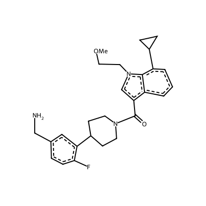 COCCn1cc(C(=O)N2CCC(c3cc(CN)ccc3F)CC2)c2cccc(C3CC3)c21